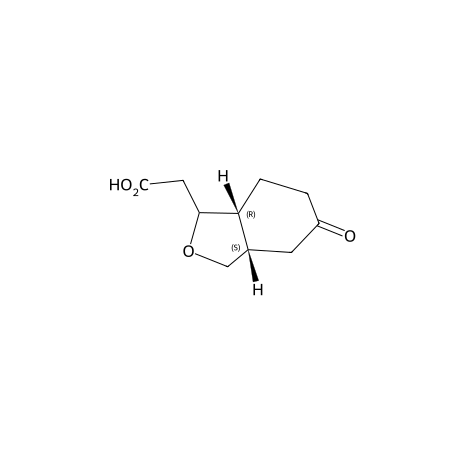 O=C(O)CC1OC[C@H]2CC(=O)CC[C@@H]12